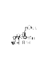 Br.CCCCCCCCCCCCCCOc1cc(C(C)(C)C)ccc1OCC(=O)Nc1ccccc1CN1C=CSC1